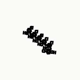 Oc1ccc(Cl)cc1Cc1cc(Cl)cc(Cc2cc(Cl)cc(Cc3cc(Cl)cc(Cc4cc(Cl)cc(Cc5cc(Cl)ccc5O)c4O)c3O)c2O)c1O